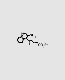 CCOC(=O)CCCNc1c(N)cnc2ccccc12